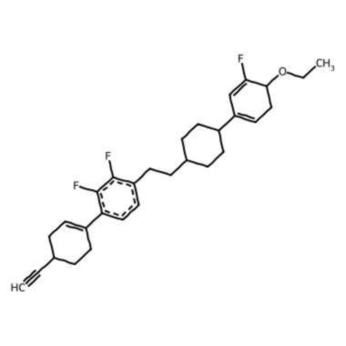 C#CC1CC=C(c2ccc(CCC3CCC(C4=CCC(OCC)C(F)=C4)CC3)c(F)c2F)CC1